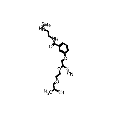 CSNCCNC(=O)c1cccc(OCC(OCCOCC(C)S)SC#N)c1